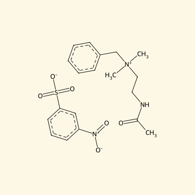 CC(=O)NCC[N+](C)(C)Cc1ccccc1.O=[N+]([O-])c1cccc(S(=O)(=O)[O-])c1